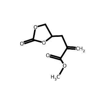 C=C(CC1COC(=O)O1)C(=O)OC